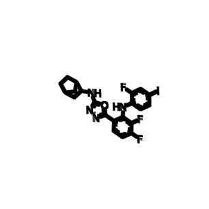 Fc1cc(I)ccc1Nc1c(-c2nnc(NC3CC4CCC3C4)o2)ccc(F)c1F